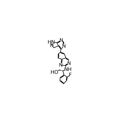 OC[C@@H](Nc1ncc2cc(-c3ncnc4[nH]ncc34)ccc2n1)c1ccccc1F